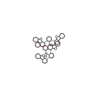 c1ccc(-c2cc(Nc3c(-c4cccc5c4oc4ccccc45)cccc3-c3cccc4c3oc3ccccc34)cc(Nc3c(-c4cccc5c4oc4ccccc45)cccc3-c3cccc4c3oc3ccccc34)c2)cc1